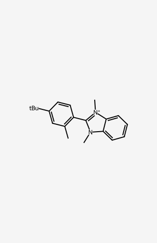 Cc1cc(C(C)(C)C)ccc1-c1n(C)c2ccccc2[n+]1C